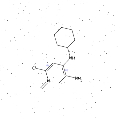 C=N/C(Cl)=C\C(NC1CCCCC1)=C(/C)N